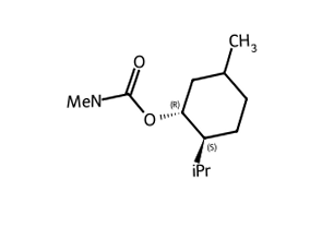 CNC(=O)O[C@@H]1CC(C)CC[C@H]1C(C)C